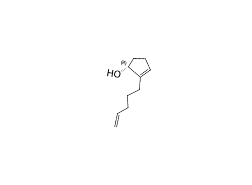 C=CCCCC1=CCC[C@H]1O